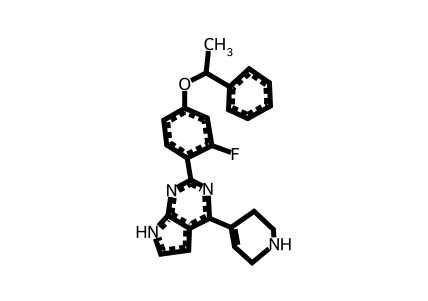 CC(Oc1ccc(-c2nc(C3=CCNCC3)c3cc[nH]c3n2)c(F)c1)c1ccccc1